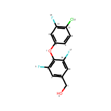 OCc1cc(F)c(Oc2ccc(Cl)c(F)c2)c(F)c1